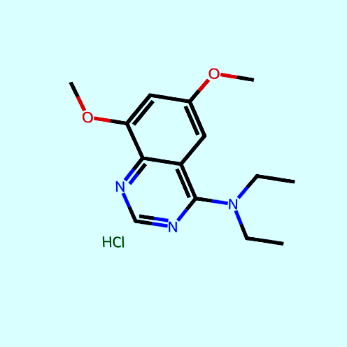 CCN(CC)c1ncnc2c(OC)cc(OC)cc12.Cl